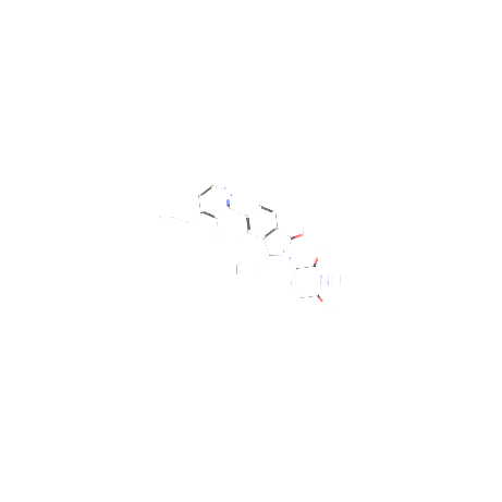 CC1c2c(ccc(-c3nccc(CCl)c3F)c2F)C(=O)N1C1CCC(=O)NC1=O